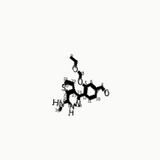 CCOCOc1cc(C=O)ccc1C1=NNC(NC)c2sccc21